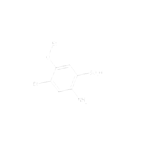 CCOc1cc(S(=O)(=O)O)c(N)cc1CC